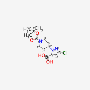 CC(C)(C)OC(=O)N1CCC(n2nc(Cl)cc2B(O)O)CC1